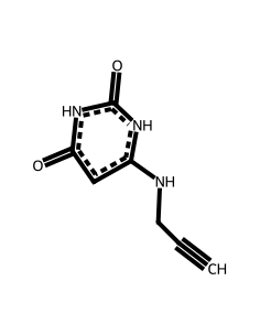 C#CCNc1cc(=O)[nH]c(=O)[nH]1